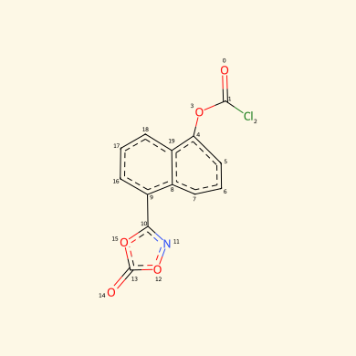 O=C(Cl)Oc1cccc2c(-c3noc(=O)o3)cccc12